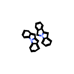 C1=CCc2cc3cc4ccccc4n3c2=C1.c1ccc2c(c1)Cn1c-2cc2ccccc21